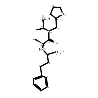 CCOC(=O)C(CCc1ccccc1)N[C@@H](C)C(=O)N(CC1CCCO1)[C@@H](C)C(=O)O